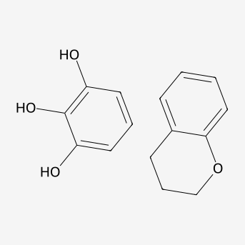 Oc1cccc(O)c1O.c1ccc2c(c1)CCCO2